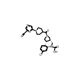 N#Cc1cncc(N2CCC(C(=O)N3C[C@H](CNC(=O)O)[C@H](c4ccc(Cl)cc4)C3)CC2)n1